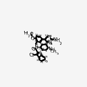 CN[C@H]1CC[C@@H](N(Cc2cc(-c3cnc(N)nc3)ccc2OC)C(=O)c2sc3ccccc3c2Cl)CC1